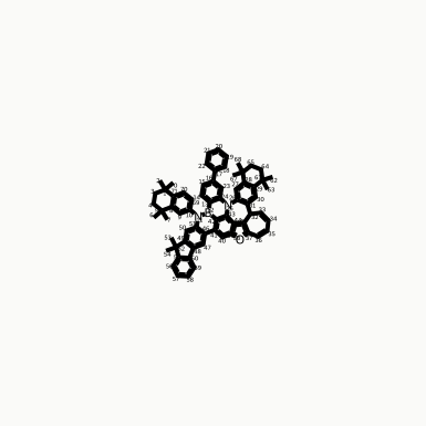 CC1(C)CCC(C)(C)c2cc(N3B4c5ccc(-c6ccccc6)cc5N5c6cc7c(cc6C6C=CC=Cc8oc9cc(c4c5c9c86)-c4cc5c(cc43)C(C)(C)c3ccccc3-5)C(C)(C)CCC7(C)C)ccc21